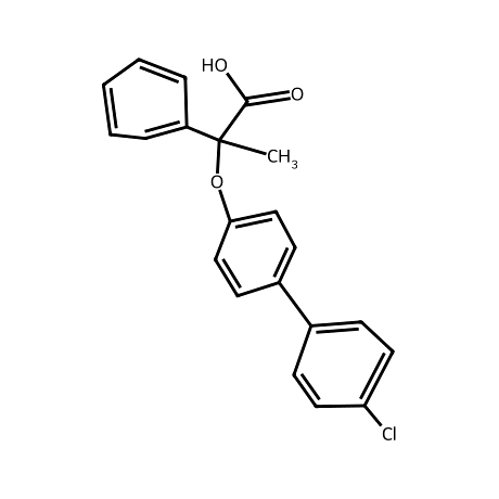 CC(Oc1ccc(-c2ccc(Cl)cc2)cc1)(C(=O)O)c1ccccc1